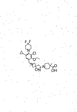 CCOc1c(CN2CC3(CC(N4CCC(C)(C(=O)O)CC4)=NO3)C2)cc(C2CC2)c(N2CCC(F)(F)CC2)c1Cl